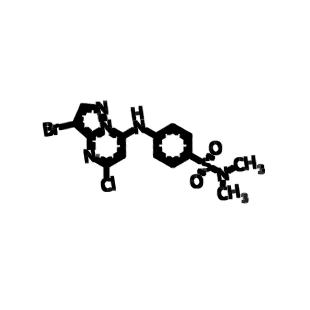 CN(C)S(=O)(=O)c1ccc(Nc2cc(Cl)nc3c(Br)cnn23)cc1